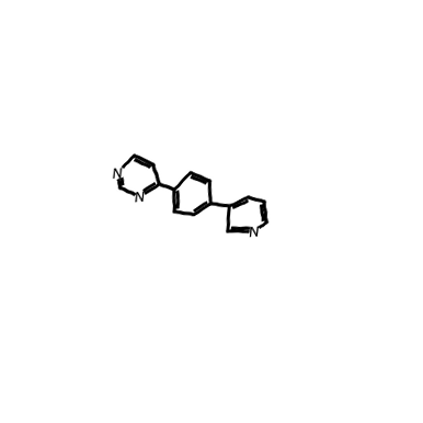 c1cncc(-c2ccc(-c3ccncn3)cc2)c1